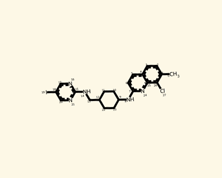 Cc1ccc2ccc(NC3CCC(CNc4ncc(I)cn4)CC3)nc2c1Cl